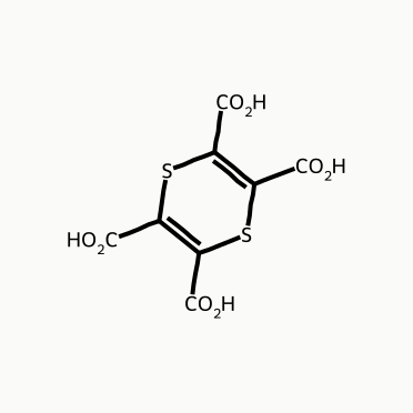 O=C(O)C1=C(C(=O)O)SC(C(=O)O)=C(C(=O)O)S1